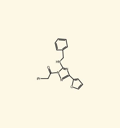 CC(C)CC(=O)n1nc(-c2ccco2)nc1NCc1ccccc1